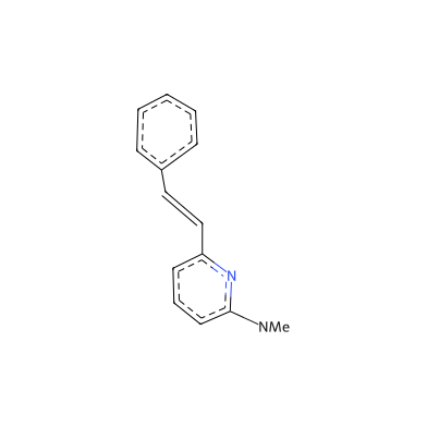 CNc1cccc(/C=C/c2ccccc2)n1